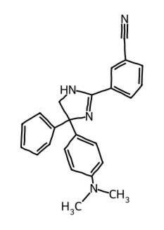 CN(C)c1ccc(C2(c3ccccc3)CNC(c3cccc(C#N)c3)=N2)cc1